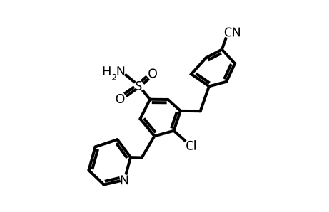 N#Cc1ccc(Cc2cc(S(N)(=O)=O)cc(Cc3ccccn3)c2Cl)cc1